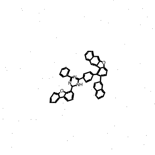 c1ccc(C2=NC(c3cccc4c3oc3ccccc34)NC(c3ccc(-c4c(-c5ccc6ccccc6c5)ccc5oc6cc7ccccc7cc6c45)cc3)=N2)cc1